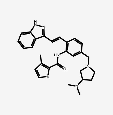 Cc1ccsc1C(=O)Nc1cc(CN2CCC(N(C)C)C2)ccc1C=Cc1n[nH]c2ccccc12